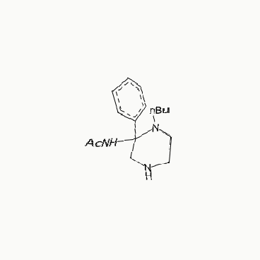 CCCCN1CCNCC1(NC(C)=O)c1ccccc1